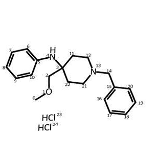 COCC1(Nc2ccccc2)CCN(Cc2ccccc2)CC1.Cl.Cl